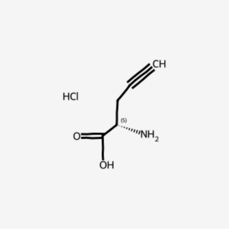 C#CC[C@H](N)C(=O)O.Cl